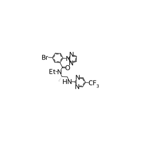 CCN(C(=O)c1cc(Br)ccc1-n1nccn1)[C@@H](C)CNc1ncc(C(F)(F)F)cn1